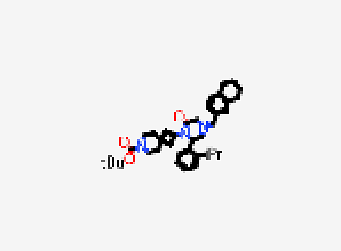 CC(C)c1ccccc1C1CN(Cc2ccc3c(c2)CCCC3)CC(=O)N1C1CC2(CCN(C(=O)OC(C)(C)C)CC2)C1